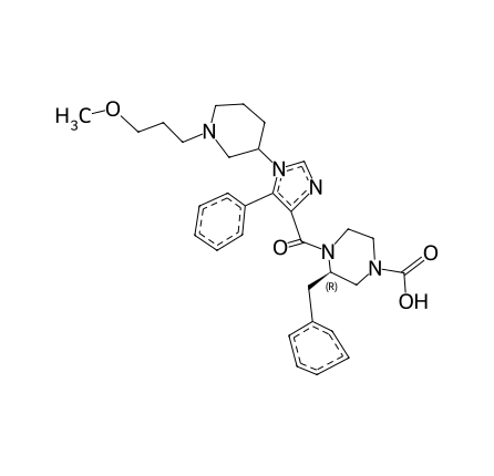 COCCCN1CCCC(n2cnc(C(=O)N3CCN(C(=O)O)C[C@H]3Cc3ccccc3)c2-c2ccccc2)C1